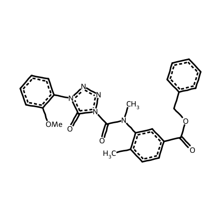 COc1ccccc1-n1nnn(C(=O)N(C)c2cc(C(=O)OCc3ccccc3)ccc2C)c1=O